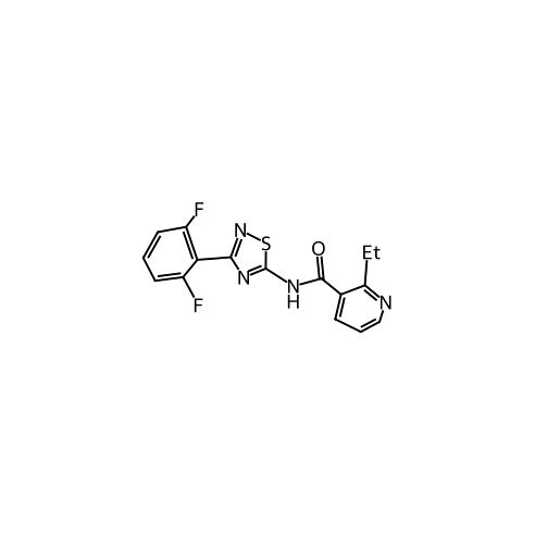 CCc1ncccc1C(=O)Nc1nc(-c2c(F)cccc2F)ns1